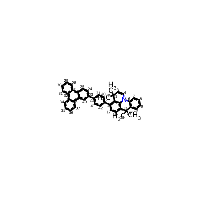 CC1(C)C=CN2c3ccccc3C(C)(C)c3ccc(-c4ccc(-c5ccc6c7ccccc7c7ccccc7c6c5)cc4)c1c32